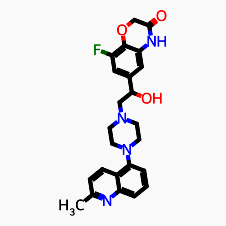 Cc1ccc2c(N3CCN(CC(O)c4cc(F)c5c(c4)NC(=O)CO5)CC3)cccc2n1